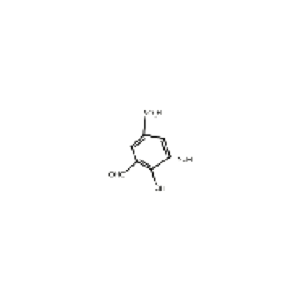 O=Cc1cc(S(=O)(=O)O)ccc1O.[NaH]